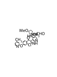 COC1CCC(C)(Nc2c(NC=O)cnc3[nH]cc(C(=O)c4ccc(Oc5cc(C)ccn5)cc4Cl)c23)C1